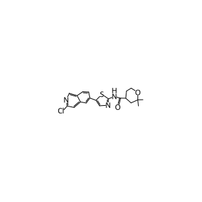 CC1(C)CC(C(=O)Nc2ncc(-c3ccc4cnc(Cl)cc4c3)s2)CCO1